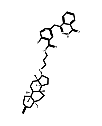 C=C1CC[C@@]2(C)[C@@H](CC[C@@H]3[C@@H]2CC[C@]2(C)[C@@H](OCCCNC(=O)c4cc(Cc5n[nH]c(=O)c6ccccc56)ccc4F)CC[C@@H]32)C1